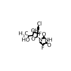 C[C@@H](O)[C@H]1O[C@@H](n2cc(F)c(=O)[nH]c2=O)C(F)(C#CCl)[C@H]1O